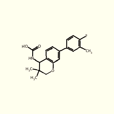 Cc1cc(-c2ccc3c(c2)OCC(C)(C)C3NC(=O)O)ccc1F